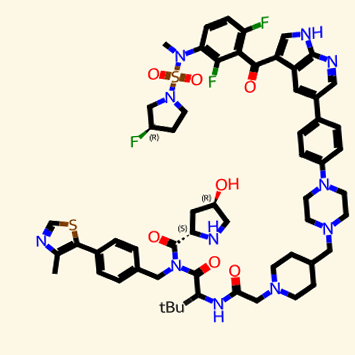 Cc1ncsc1-c1ccc(CN(C(=O)C(NC(=O)CN2CCC(CN3CCN(c4ccc(-c5cnc6[nH]cc(C(=O)c7c(F)ccc(N(C)S(=O)(=O)N8CC[C@@H](F)C8)c7F)c6c5)cc4)CC3)CC2)C(C)(C)C)C(=O)[C@@H]2C[C@@H](O)CN2)cc1